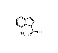 N.O=C(O)C1C=Cc2ccccc21